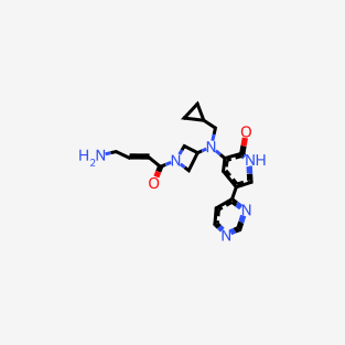 NCC=CC(=O)N1CC(N(CC2CC2)c2cc(-c3ccncn3)c[nH]c2=O)C1